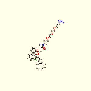 NCCCOCCOCCOCCCNC(=O)CCC(=O)OC(c1ccccc1)(c1ccc(C2CCCCCCC2)cc1)c1ccccc1Cl